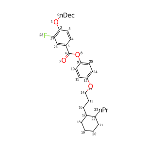 CCCCCCCCCCOc1ccc(C(=O)Oc2ccc(OCCCC3CCCCC3CCC)cc2)cc1F